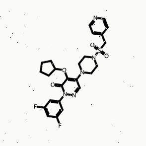 O=c1c(OC2CCCC2)c(N2CCN(S(=O)(=O)Cc3ccncc3)CC2)cnn1-c1cc(F)cc(F)c1